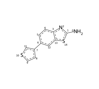 Nc1nc2ccc(-c3ccsc3)cc2s1